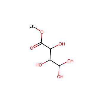 CCOC(=O)C(O)C(O)C(O)O